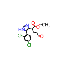 CCOC(=O)C(CCC=O)c1nc[nH]c1-c1ccc(Cl)cc1Cl